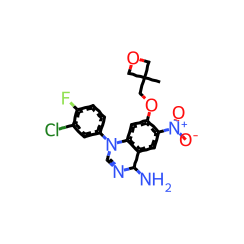 CC1(COc2cc3c(cc2[N+](=O)[O-])C(N)N=CN3c2ccc(F)c(Cl)c2)COC1